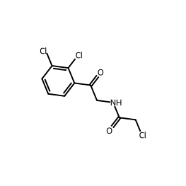 O=C(CCl)NCC(=O)c1cccc(Cl)c1Cl